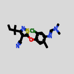 CCC(C)(C)c1nsc(Oc2cc(C)c(N=CN(C)C)cc2Cl)c1C#N